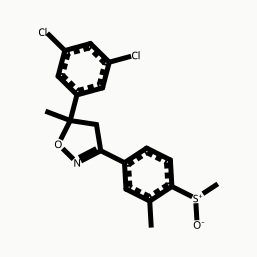 Cc1cc(C2=NOC(C)(c3cc(Cl)cc(Cl)c3)C2)ccc1[S+](C)[O-]